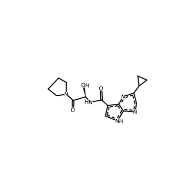 O=C(N[C@H](O)C(=O)N1CCCC1)c1c[nH]c2ncc(C3CC3)nc12